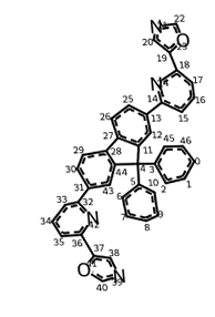 c1ccc(C2(c3ccccc3)c3cc(-c4cccc(-c5cnco5)n4)ccc3-c3ccc(-c4cccc(-c5cnco5)n4)cc32)cc1